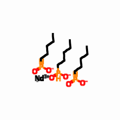 CCCCC[PH](=O)[O-].CCCCC[PH](=O)[O-].CCCCC[PH](=O)[O-].[Nd+3]